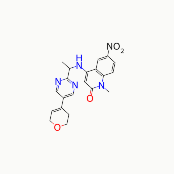 CC(Nc1cc(=O)n(C)c2ccc([N+](=O)[O-])cc12)c1ncc(C2=CCOCC2)cn1